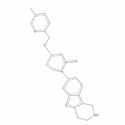 Cc1ccc(COc2ccn(-c3ccc4c5c(oc4c3)CCNC5)c(=O)c2)nc1